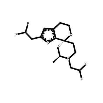 C[C@H]1C[C@@]2(CCN1CC(F)F)OCCc1cc(CC(F)F)sc12